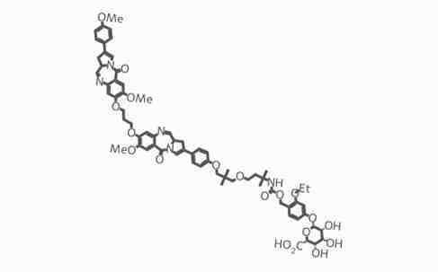 CCOc1cc(O[C@@H]2O[C@H](C(=O)O)[C@@H](O)[C@H](O)[C@H]2O)ccc1COC(=O)NC(C)(C)CCOCC(C)(C)COc1ccc(C2=CN3C(=O)c4cc(OC)c(OCCCOc5cc6c(cc5OC)C(=O)N5C=C(c7ccc(OC)cc7)CC5C=N6)cc4N=CC3C2)cc1